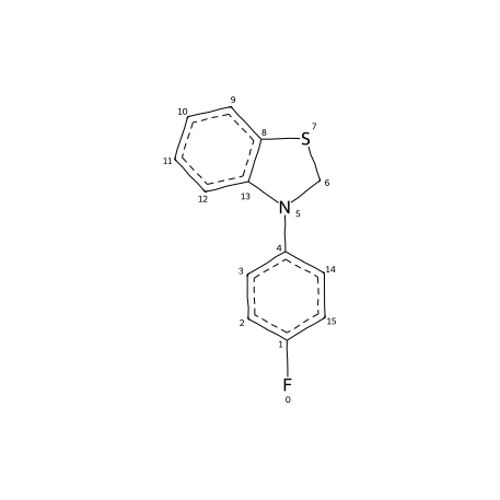 Fc1ccc(N2CSc3ccccc32)cc1